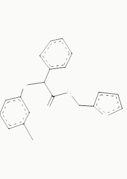 Cc1cccc(OC(C(=O)NCc2cccs2)c2ccccc2)c1